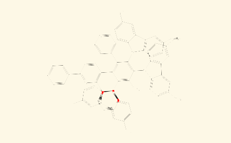 CC(C)(C)c1ccc2c(c1)c1cc(C(C)(C)C)ccc1n2-c1c(C#N)c(-n2c3ccc(C(C)(C)C)cc3c3cc(C(C)(C)C)ccc32)c(-n2c3ccc(C(C)(C)C)cc3c3cc(C(C)(C)C)ccc32)c(-c2ccccc2)c1-c1ccc(-c2ccccc2)nc1-c1ccccc1